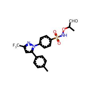 Cc1ccc(-c2cc(C(F)(F)F)nn2-c2ccc(S(=O)(=O)NOC(C)C=O)cc2)cc1